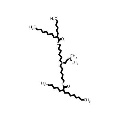 CCCCCCCCC(CCCCCC)C(=O)OCCCCCCN(CCCCCCOC(=O)C(CCCCCC)CCCCCCCC)CCN(C)C